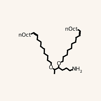 CCCCCCCC/C=C\CCCCCCCCOC(C)C(CCCN)OCCCCCCCC/C=C\CCCCCCCC